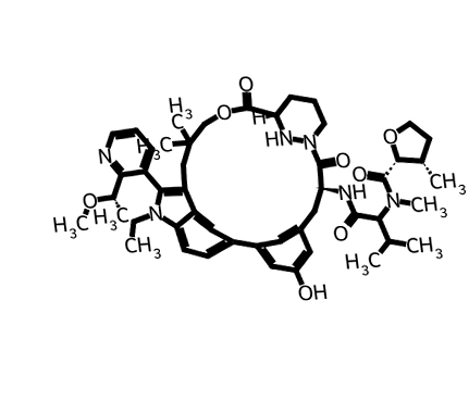 CCn1c(-c2cccnc2[C@H](C)OC)c2c3cc(ccc31)-c1cc(O)cc(c1)C[C@H](NC(=O)C(C(C)C)N(C)C(=O)[C@@H]1OCC[C@@H]1C)C(=O)N1CCC[C@H](N1)C(=O)OCC(C)(C)C2